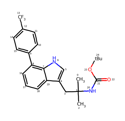 CC(C)(Cc1c[nH]c2c(-c3ccc(C(F)(F)F)cc3)cccc12)NC(=O)OC(C)(C)C